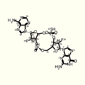 Nc1nc2c(ncn2[C@@H]2OC3CO[PH](=O)O[C@@H]4C(CO[P@](=O)(S)O[C@H]3[C@H]2F)O[C@@H](n2cnc3c(N)ncnc32)[C@@H]4F)c(=O)[nH]1